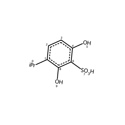 CC(C)c1ccc(O)c(S(=O)(=O)O)c1O